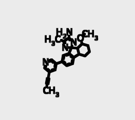 CC#Cc1cncc(-c2ccc3c(c2)C2(N=C(C)C(N)=N2)C2C(OC)CCCC32)c1